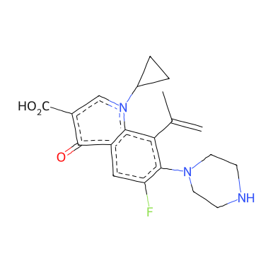 C=C(C)c1c(N2CCNCC2)c(F)cc2c(=O)c(C(=O)O)cn(C3CC3)c12